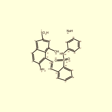 Nc1ccc2cc(S(=O)(=O)O)cc(O)c2c1N=Nc1ccccc1S(=O)(=O)Nc1ccccc1.[NaH]